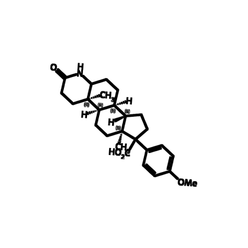 COc1ccc(C2(C(=O)O)CC[C@H]3[C@@H]4CCC5NC(=O)CC[C@]5(C)[C@@H]4CC[C@@]32C)cc1